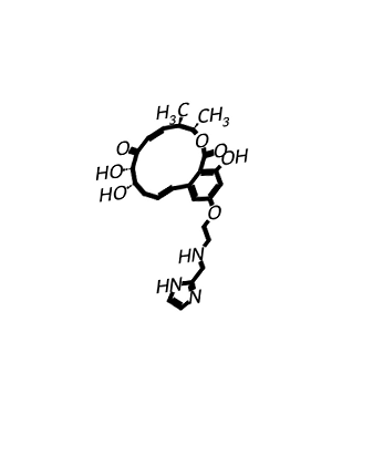 C[C@@H]1/C=C\C(=O)[C@@H](O)[C@@H](O)C/C=C/c2cc(OCCNCc3ncc[nH]3)cc(O)c2C(=O)O[C@H]1C